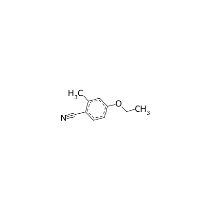 CCOc1ccc(C#N)c(C)c1